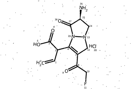 C=CC(C(=O)O)C1=C(C(=O)CF)CN2C[C@H](N)C(=O)N12.Cl